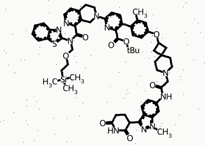 Cc1cc(OC2CC3(CCN(CC(=O)Nc4ccc5c(C6CCC(=O)NC6=O)nn(C)c5c4)CC3)C2)ccc1-c1ccc(N2CCc3ccnc(C(=O)N(COCC[Si](C)(C)C)c4nc5ccccc5s4)c3C2)nc1C(=O)OC(C)(C)C